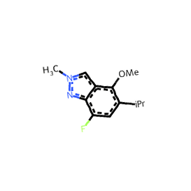 COc1c(C(C)C)cc(F)c2nn(C)cc12